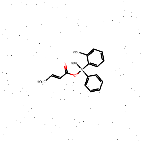 CCCCc1ccccc1[Si](CCCC)(OC(=O)/C=C/C(=O)O)c1ccccc1